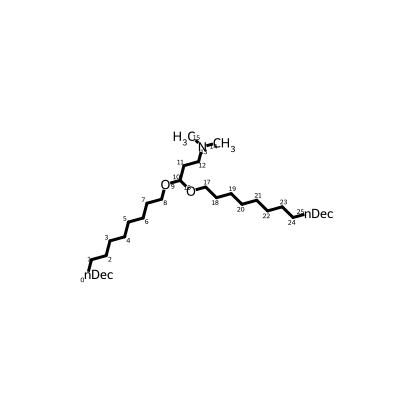 CCCCCCCCCCCCCCCCCCOC(CCN(C)C)OCCCCCCCCCCCCCCCCCC